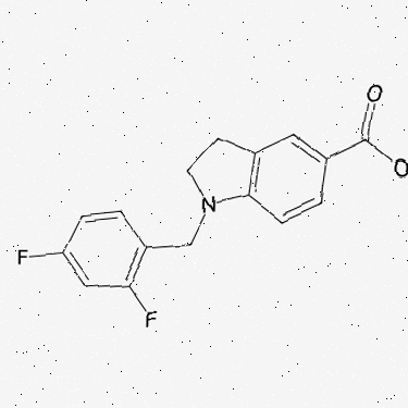 O=C(O)c1ccc2c(c1)CCN2Cc1ccc(F)cc1F